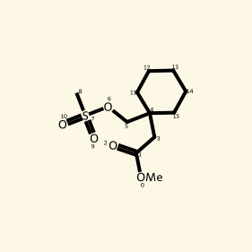 COC(=O)CC1(COS(C)(=O)=O)CCCCC1